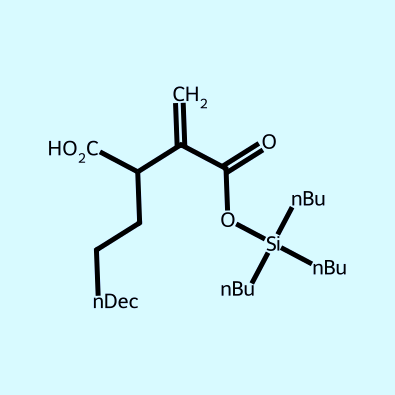 C=C(C(=O)O[Si](CCCC)(CCCC)CCCC)C(CCCCCCCCCCCC)C(=O)O